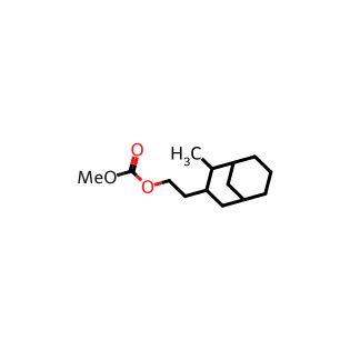 COC(=O)OCCC1CC2CCCC(C2)C1C